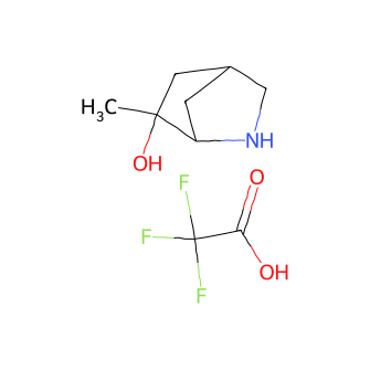 CC1(O)CC2CNC1C2.O=C(O)C(F)(F)F